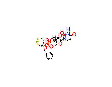 C[C@@]1(O)[C@@H]2OP(=O)(OC3CSSC[C@@H]3OCc3ccccc3)OCC2O[C@H]1n1ccc(=O)[nH]c1=O